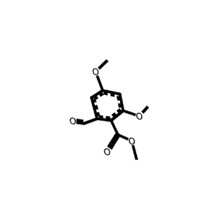 COC(=O)c1c(C=O)cc(OC)cc1OC